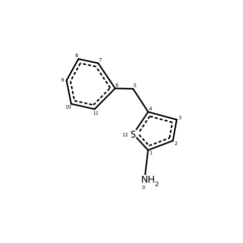 Nc1ccc(Cc2ccccc2)s1